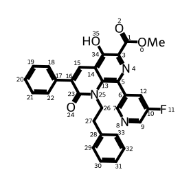 COC(=O)c1nc(-c2cncc(F)c2)c2c(cc(-c3ccccc3)c(=O)n2CCc2ccccc2)c1O